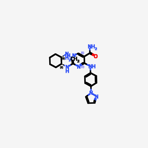 C=C(/N=C(Nc1ccc(-n2cccn2)cc1)\C(=C/N)C(N)=O)N[C@@H]1CCCC[C@@H]1N